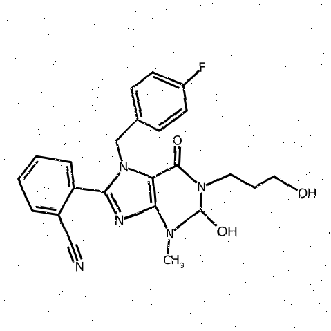 CN1c2nc(-c3ccccc3C#N)n(Cc3ccc(F)cc3)c2C(=O)N(CCCO)C1O